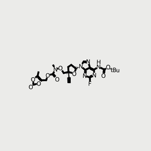 C#C[C@@]1(CON(C)C(=O)OCc2oc(=O)oc2C)CC[C@H](n2cnc3c(NC(=O)OC(C)(C)C)nc(F)nc32)O1